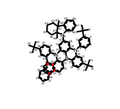 CC(C)(C)c1cccc(N2c3cc(C(C)(C)C)ccc3B3c4ccc5c(sc6ccccc65)c4N(c4ccc(C(C)(C)C)cc4-c4ccccc4)c4cc(N5c6ccccc6C6(C)CCCCC56C)cc2c43)c1